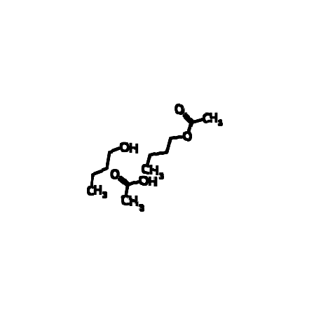 CC(=O)O.CCCCO.CCCCOC(C)=O